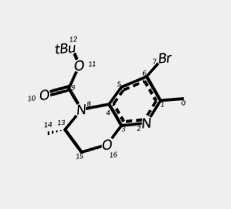 Cc1nc2c(cc1Br)N(C(=O)OC(C)(C)C)[C@@H](C)CO2